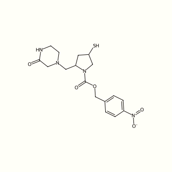 O=C1CN(CC2CC(S)CN2C(=O)OCc2ccc([N+](=O)[O-])cc2)CCN1